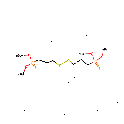 CCCCOP(=S)(CCCSSCCCP(=S)(OCCCC)OCCCC)OCCCC